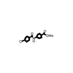 COC(=O)c1ccc(NC(=O)c2ccc(Cl)cc2)cc1